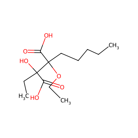 CCCCCC(OCC)(C(=O)O)C(O)(CC)C(=O)O